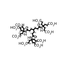 O=C(O)CCC(CCC(=O)O)(CCC(=O)O)NC(=O)CCC(CCC(=O)NC(CCC(=O)O)(CCC(=O)O)CCC(=O)O)CCC(=O)NC(CCC(=O)O)(CCC(=O)O)CCC(=O)O